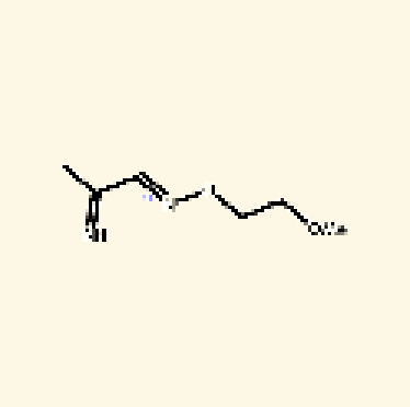 COCCO/N=C/C(C)=N